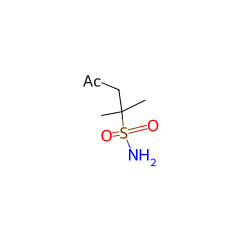 CC(=O)CC(C)(C)S(N)(=O)=O